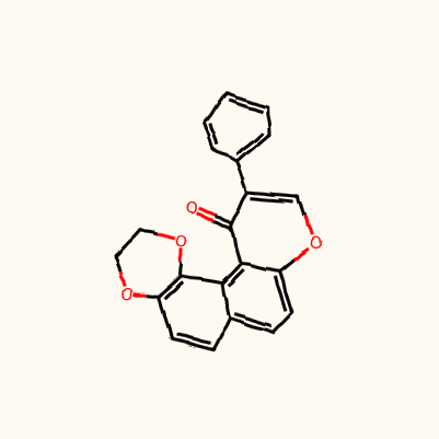 O=c1c(-c2ccccc2)coc2ccc3ccc4c(c3c12)OCCO4